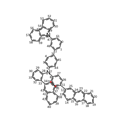 c1cc(-c2ccc(N(c3ccc(-c4ccc5cc6ccccc6cc5c4)cc3)c3ccccc3-c3ccc4ccccc4c3)cc2)cc(-n2c3ccccc3c3ccccc32)c1